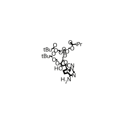 CC(C)C(=O)OCOP(=O)(OCOC(=O)C(C)(C)C)OC[C@H]1O[C@@](C#N)(c2ccc3c(N)ncnn23)[C@H](O)[C@@H]1OCOC(=O)C(C)(C)C